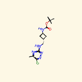 Cc1nc(NC[C@H]2C[C@H](NC(=O)OC(C)(C)C)C2)nnc1Cl